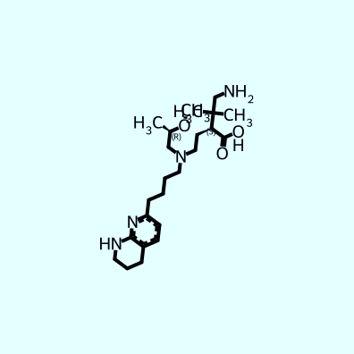 CO[C@H](C)CN(CCCCc1ccc2c(n1)NCCC2)CC[C@H](C(=O)O)C(C)(C)CN